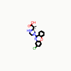 C[C@H](C(=O)O)[C@@H]1CN(C2=Nc3cc(Cl)ccc3Oc3ccccc32)CCN1